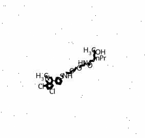 CCCC(CCC(=O)NCCOCCOCCNSc1cccc([C@@H]2CN(C)Cc3c(Cl)cc(Cl)cc32)c1)CC(C)O